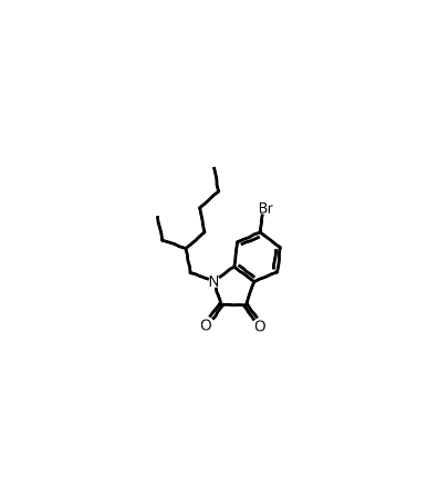 CCCCC(CC)CN1C(=O)C(=O)c2ccc(Br)cc21